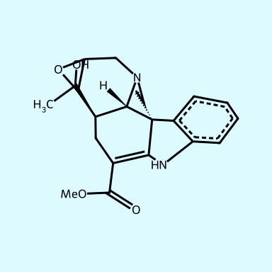 COC(=O)C1=C2Nc3ccccc3[C@@]23CCN2CC4OC4[C@@](C(C)O)(C1)[C@H]23